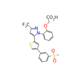 CS(=O)(=O)c1cccc(-c2csc(-c3cc(C(F)(F)F)nn3-c3ccccc3OCC(=O)O)c2)c1